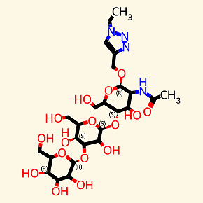 CCn1cc(CO[C@@H]2OC(CO)[C@@H](O[C@@H]3OC(CO)[C@H](O)C(O[C@H]4OC(CO)[C@H](O)C(O)C4O)C3O)C(O)C2NC(C)=O)nn1